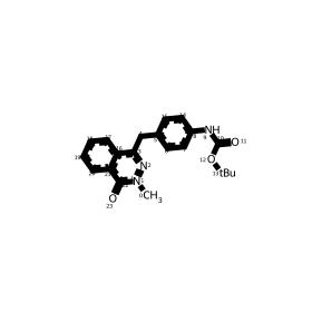 Cn1nc(Cc2ccc(NC(=O)OC(C)(C)C)cc2)c2ccccc2c1=O